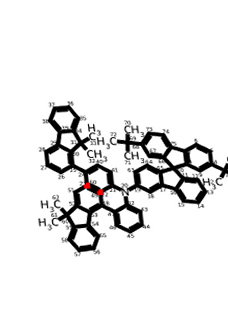 CC(C)(C)c1ccc2c(c1)C1(c3ccccc3-c3cc(N(c4ccc(-c5cccc6c5C(C)(C)c5ccccc5-6)cc4)c4ccccc4-c4cccc5c4-c4ccccc4C5(C)C)ccc31)c1cc(C(C)(C)C)ccc1-2